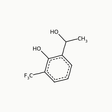 CC(O)c1cccc(C(F)(F)F)c1O